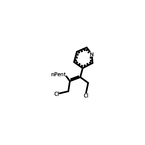 CCCCC/C(CCl)=C(/CCl)c1cccnc1